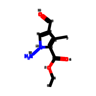 CCOC(=O)c1c(C)c(C=O)cn1N